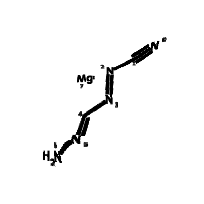 N#CN=NC=NN.[Mg]